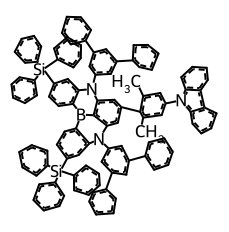 Cc1cc(-n2c3ccccc3c3ccccc32)cc(C)c1-c1cc2c3c(c1)N(c1cc(-c4ccccc4)cc(-c4ccccc4)c1)c1cc([Si](c4ccccc4)(c4ccccc4)c4ccccc4)ccc1B3c1ccc([Si](c3ccccc3)(c3ccccc3)c3ccccc3)cc1N2c1cc(-c2ccccc2)cc(-c2ccccc2)c1